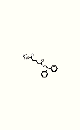 CCCNC(=O)CCCC(=O)SCP(c1ccccc1)c1ccccc1